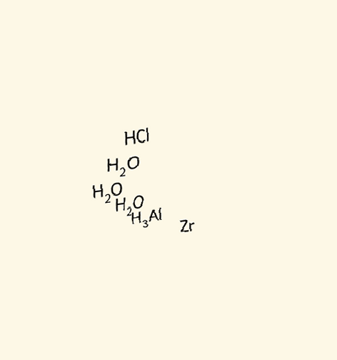 Cl.O.O.O.[AlH3].[Zr]